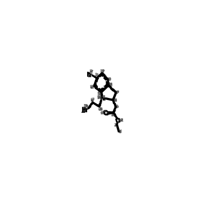 CCOC(=O)CC1Cc2ccc(Br)cc2N1CCBr